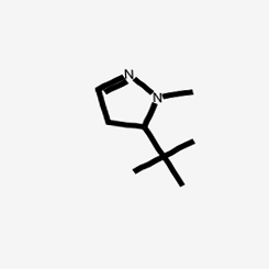 CN1N=CCC1C(C)(C)C